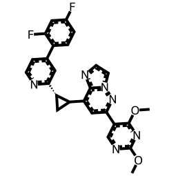 COc1ncc(-c2cc(C3C[C@@H]3c3cc(-c4ccc(F)cc4F)ccn3)c3nccn3n2)c(OC)n1